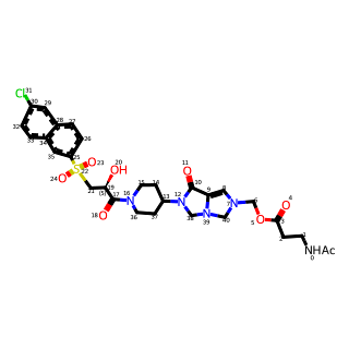 CC(=O)NCCC(=O)OCN1C=C2C(=O)N(C3CCN(C(=O)[C@H](O)CS(=O)(=O)c4ccc5cc(Cl)ccc5c4)CC3)CN2C1